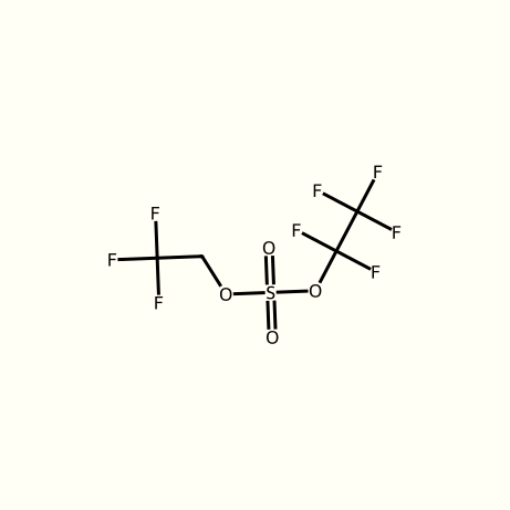 O=S(=O)(OCC(F)(F)F)OC(F)(F)C(F)(F)F